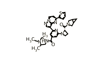 CCN(CC)C(C)CNC(=O)c1cc(-c2cnn3ccc(-c4cccs4)nc23)nc(N2CC[C@H]2C(=O)N2CC3CC3C2)c1